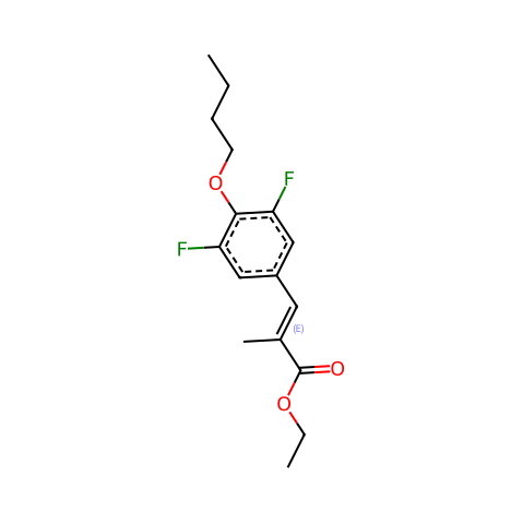 CCCCOc1c(F)cc(/C=C(\C)C(=O)OCC)cc1F